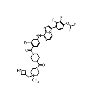 CCc1cc(Nc2nccn3c(-c4ccc(OC(F)F)c(F)c4F)cnc23)ccc1C(=O)N1CCC(C(=O)N2CC[N+](C)(CC3CNC3)CC2)CC1